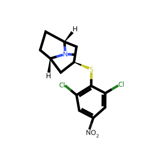 CN1[C@@H]2CC[C@H]1C[C@H](Sc1c(Cl)cc([N+](=O)[O-])cc1Cl)C2